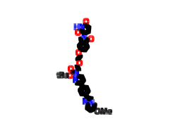 COc1ccc2nc(-c3ccc(-c4ccc(N(CCOCCOc5ccc6c(c5)CN(C5CCC(=O)NC5=O)C6=O)C(=O)OC(C)(C)C)nc4)cc3)cn2c1